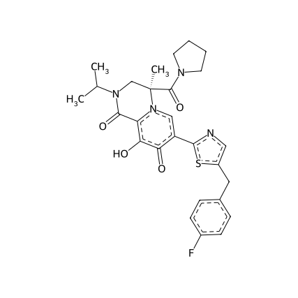 CC(C)N1C[C@@](C)(C(=O)N2CCCC2)n2cc(-c3ncc(Cc4ccc(F)cc4)s3)c(=O)c(O)c2C1=O